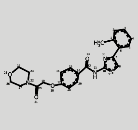 Cc1ccccc1-c1csc(NC(=O)c2ccc(OCC(=O)N3CCOCC3)cc2)n1